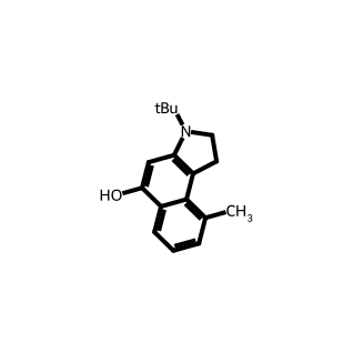 Cc1cccc2c(O)cc3c(c12)CCN3C(C)(C)C